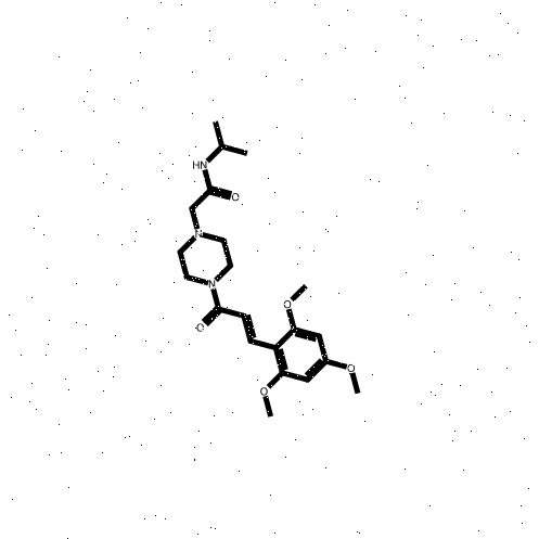 COc1cc(OC)c(/C=C/C(=O)N2CCN(CC(=O)NC(C)C)CC2)c(OC)c1